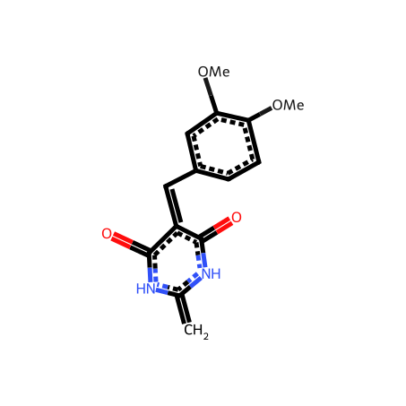 C=c1[nH]c(=O)c(=Cc2ccc(OC)c(OC)c2)c(=O)[nH]1